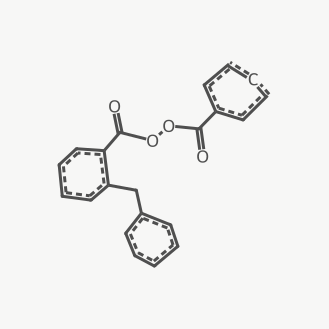 O=C(OOC(=O)c1ccccc1Cc1ccccc1)c1ccccc1